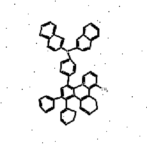 Cc1cccc2c1c1c(c3c(C4=CC=CCC4)c(-c4ccccc4)cc(-c4ccc(N(c5ccc6ccccc6c5)c5ccc6ccccc6c5)cc4)c32)C=CCC1